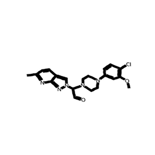 COc1cc(N2CCN(C(C=O)n3cc4ccc(C)nc4n3)CC2)ccc1Cl